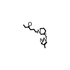 CCC(=O)CCCN1CCC[C@@H](Cn2cc(C)cn2)C1